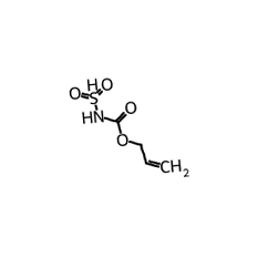 C=CCOC(=O)N[SH](=O)=O